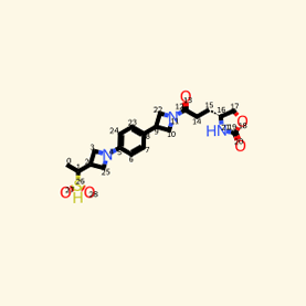 CC(C1CN(c2ccc(C3CN(C(=O)CC[C@@H]4COC(=O)N4)C3)cc2)C1)[SH](=O)=O